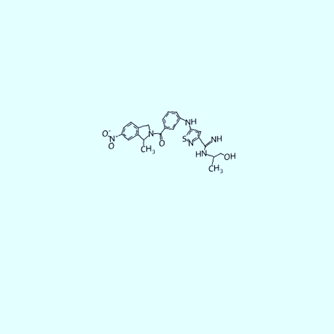 CC(CO)NC(=N)c1cc(Nc2cccc(C(=O)N3Cc4ccc([N+](=O)[O-])cc4C3C)c2)sn1